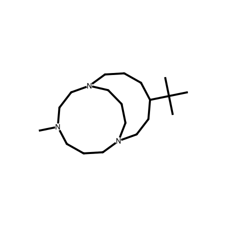 CN1CCCN2CCCN(CCCC(C(C)(C)C)CC2)CC1